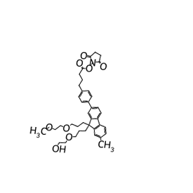 COCCOCCCC1(CCCOCCO)c2cc(C)ccc2-c2ccc(-c3ccc(CCCC(=O)ON4C(=O)CCC4=O)cc3)cc21